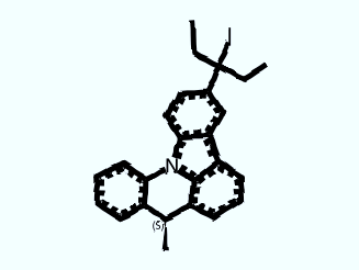 CCC(I)(CC)c1ccc2c(c1)c1cccc3c1n2-c1ccccc1[C@@H]3C